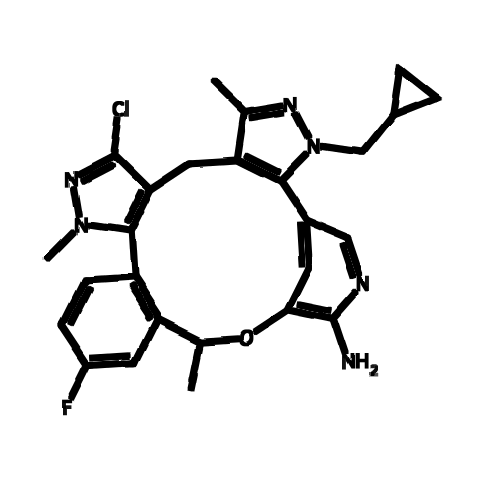 Cc1nn(CC2CC2)c2c1Cc1c(Cl)nn(C)c1-c1ccc(F)cc1C(C)Oc1cc-2cnc1N